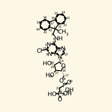 CC1(CNc2nc(Cl)nc3c2ncn3[C@@H]2O[C@H](COP(=O)(O)CP(=O)(O)O)C(O)[C@@H]2O)c2ccccc2-c2ccccc21